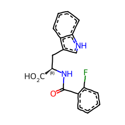 O=C(N[C@H](Cc1c[nH]c2ccccc12)C(=O)O)c1ccccc1F